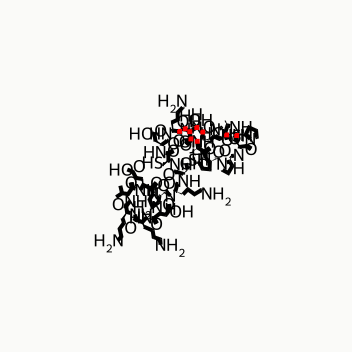 CC(C)[C@H](NC(=O)[C@H](CCCCN)NC(=O)[C@H](CCCCN)NC(=O)[C@@H](N)CC(=O)O)C(=O)N[C@@H](CCC(=O)O)C(=O)N1CCC[C@H]1C(=O)N[C@@H](CCCCN)C(=O)N[C@@H](CO)C(=O)N[C@@H](CS)C(=O)N[C@@H](CC(=O)O)C(=O)N[C@@H](CCCCN)C(=O)N[C@H](C(=O)N[C@@H](Cc1c[nH]cn1)C(=O)N[C@H](C(=O)N[C@@H](CS)C(=O)N1CCC[C@H]1C(=O)N1CCC[C@H]1C(=O)N[C@@H](CS)C(=O)N1CCC[C@H]1C(=O)N[C@@H](C)C(=O)O)[C@@H](C)O)[C@@H](C)O